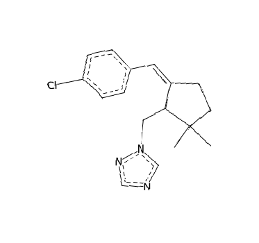 CC1(C)CCC(=Cc2ccc(Cl)cc2)C1Cn1cncn1